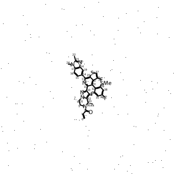 C=CC(=O)N1C[C@H](C)n2nc(-c3nc(-c4ccc5c(c4)nc(C)n5C)c4scc(F)c4c3-c3c(F)cc(F)cc3SC)cc2[C@H]1C